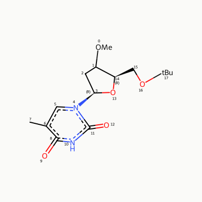 COC1C[C@H](n2cc(C)c(=O)[nH]c2=O)O[C@@H]1COC(C)(C)C